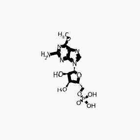 COc1nc(N)nc2c1ncn2[C@@H]1O[C@H](COP(=O)(O)O)[C@@H](O)[C@H]1O